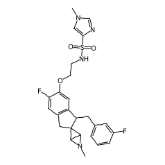 CN1C2C1C21Cc2cc(F)c(OCCNS(=O)(=O)c3cn(C)cn3)cc2C1Cc1cccc(F)c1